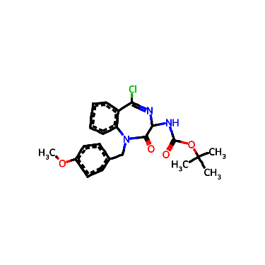 COc1ccc(CN2C(=O)C(NC(=O)OC(C)(C)C)N=C(Cl)c3ccccc32)cc1